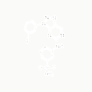 NS(=O)(=O)c1cccc(Nc2ncc3nnn(-c4cccc(F)c4)c3n2)c1